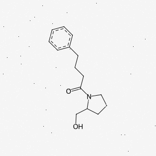 O=C(CCCc1ccccc1)N1CCCC1CO